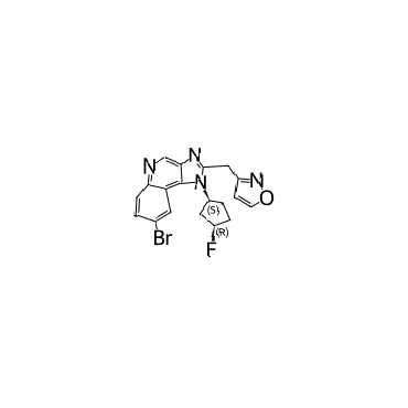 F[C@@H]1CC[C@H](n2c(Cc3ccon3)nc3cnc4ccc(Br)cc4c32)C1